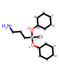 CC[Si](CCCN)(OC1CCCCC1)OC1CCCCC1